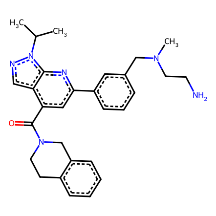 CC(C)n1ncc2c(C(=O)N3CCc4ccccc4C3)cc(-c3cccc(CN(C)CCN)c3)nc21